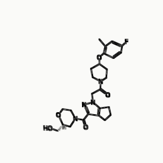 Cc1cc(F)ccc1OC1CCN(C(=O)Cn2nc(C(=O)N3CCO[C@@H](CO)C3)c3c2CCC3)CC1